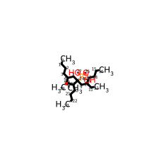 CCCCC(CC)CC(CC(CC)CCCC)(C(CC)CCCC)P(=O)(O)O